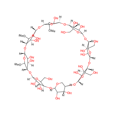 COC1O[C@@H]2O[C@@H]3C(CO)O[C@H](O[C@@H]4C(CO)O[C@H](O[C@@H]5C(CO)O[C@H](O[C@@H]6CO[C@H](O[C@@H]7C(CO)O[C@H](O[C@@H]8C(OC)O[C@H](O[C@@H]9C(OC)O[C@H](O[C@H]1CC2O)C(O)[C@H]9O)C(O)[C@H]8O)C(O)[C@H]7O)C(O)[C@H]6O)C(O)[C@H]5O)C(O)[C@H]4O)C(O)[C@H]3O